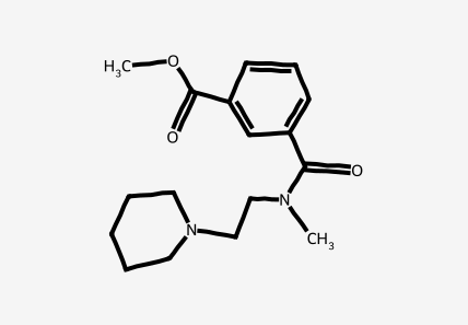 COC(=O)c1cccc(C(=O)N(C)CCN2CCCCC2)c1